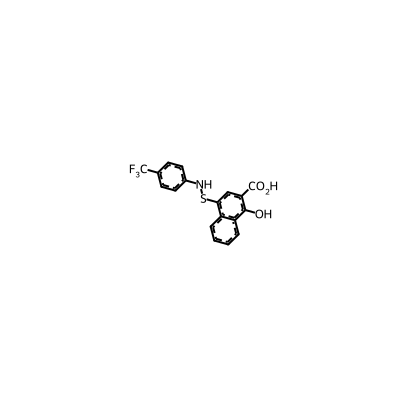 O=C(O)c1cc(SNc2ccc(C(F)(F)F)cc2)c2ccccc2c1O